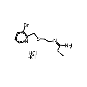 CN/C(=N/CCSCc1ncccc1Br)SC.Cl.Cl